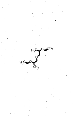 C=COC(C)COCC(C)OC=C